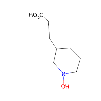 O=C(O)CCC1CCCN(O)C1